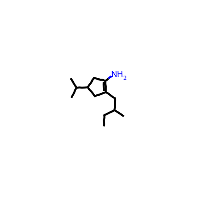 CCC(C)CC1=C(N)CC(C(C)C)C1